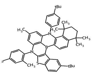 Cc1cc2c3c(c1)N(c1ccc(C(C)(C)C)cc1)c1c(ccc4c1C(C)(C)CCC4(C)C)B3c1c(sc3ccc(C(C)(C)C)cc13)N2c1ccc(C(C)(C)C)cc1C